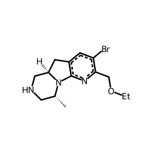 CCOCc1nc2c(cc1Br)C[C@@H]1CNC[C@@H](C)N21